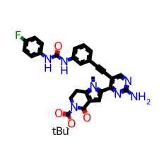 Cn1c(-c2nc(N)ncc2C#Cc2cccc(NC(=O)Nc3ccc(F)cc3)c2)cc2c1CCN(C(=O)OC(C)(C)C)C2=O